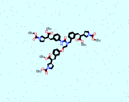 CC(C)(C)OC(=O)[C@@H](Cc1cccc(CN(CCOc2cccc(C[C@H](C(=O)OC(C)(C)C)[C@H]3CCN(C(=O)OC(C)(C)C)C3)c2)C(=O)Nc2cccc(C[C@H](C(=O)OC(C)(C)C)[C@H]3CCN(C(=O)OC(C)(C)C)C3)c2)c1)[C@H]1CCN(C(=O)OC(C)(C)C)C1